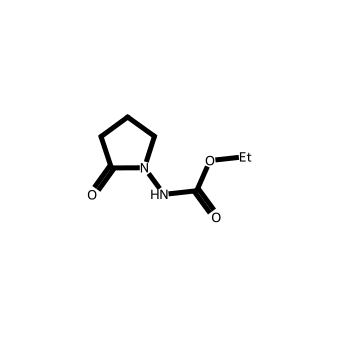 CCOC(=O)NN1CCCC1=O